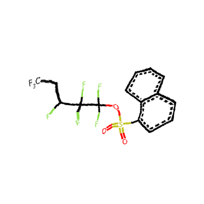 O=S(=O)(OC(F)(F)C(F)(F)C(F)CC(F)(F)F)c1cccc2ccccc12